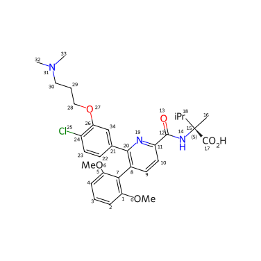 COc1cccc(OC)c1-c1ccc(C(=O)N[C@](C)(C(=O)O)C(C)C)nc1-c1ccc(Cl)c(OCCCN(C)C)c1